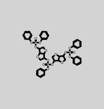 O=P(Oc1ccccc1)(Oc1ccccc1)OC1COC2C(OP(=O)(Oc3ccccc3)OC3COC4C(OP(=O)(Oc5ccccc5)Oc5ccccc5)COC34)COC12